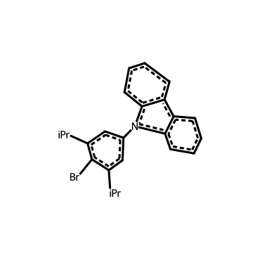 CC(C)c1cc(-n2c3ccccc3c3ccccc32)cc(C(C)C)c1Br